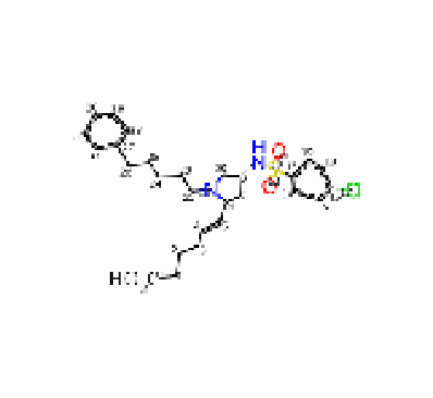 O=C(O)CCCC=C[C@@H]1C[C@@H](NS(=O)(=O)c2ccc(Cl)cc2)CN1CCCCCc1ccccc1